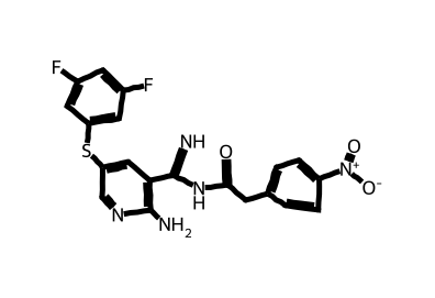 N=C(NC(=O)Cc1ccc([N+](=O)[O-])cc1)c1cc(Sc2cc(F)cc(F)c2)cnc1N